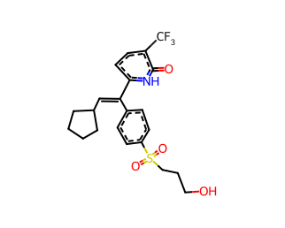 O=c1[nH]c(/C(=C/C2CCCC2)c2ccc(S(=O)(=O)CCCO)cc2)ccc1C(F)(F)F